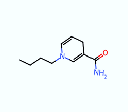 CCCCN1C=CCC(C(N)=O)=C1